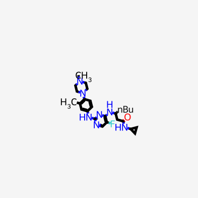 CCCCC(CC(=O)NC1CC1)Nc1nc(Nc2ccc(N3CCN(C)CC3)c(C)c2)ncc1F